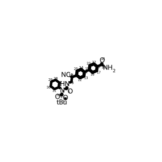 CC(C)(C)OC(=O)N(C(=O)NCC(C#N)c1ccc(-c2ccc(C(N)=O)cc2)cc1)C1CCCCC1